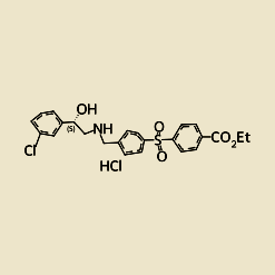 CCOC(=O)c1ccc(S(=O)(=O)c2ccc(CNC[C@@H](O)c3cccc(Cl)c3)cc2)cc1.Cl